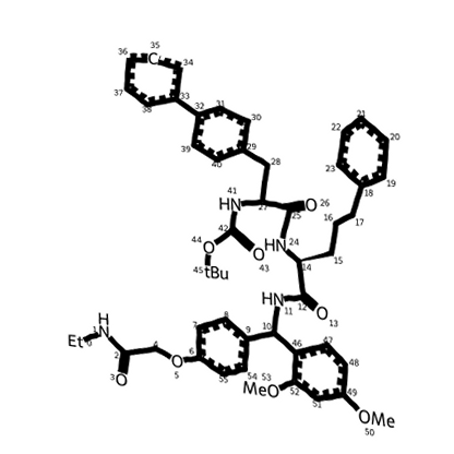 CCNC(=O)COc1ccc(C(NC(=O)[C@H](CCCc2ccccc2)NC(=O)C(Cc2ccc(-c3ccccc3)cc2)NC(=O)OC(C)(C)C)c2ccc(OC)cc2OC)cc1